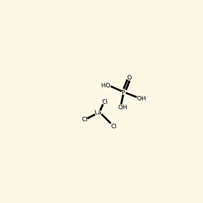 O=P(O)(O)O.[Cl][La]([Cl])[Cl]